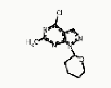 Cc1nc(Cl)c2cnn(C3CCCCO3)c2n1